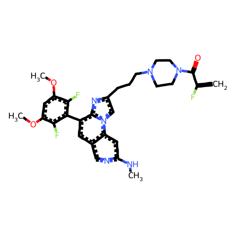 C=C(F)C(=O)N1CCN(CCCc2cn3c(n2)c(-c2c(F)c(OC)cc(OC)c2F)cc2cnc(NC)cc23)CC1